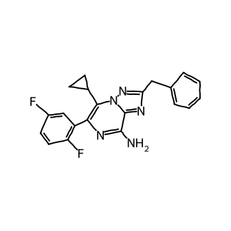 Nc1nc(-c2cc(F)ccc2F)c(C2CC2)n2nc(Cc3ccccc3)nc12